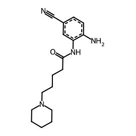 N#Cc1ccc(N)c(NC(=O)CCCCN2CCCCC2)c1